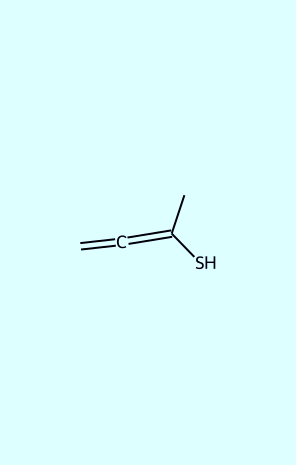 C=C=C(C)S